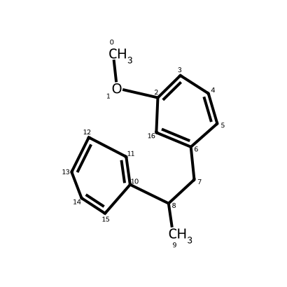 COc1cccc(CC(C)c2ccccc2)c1